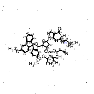 COc1ccc(C(OCC2OC(n3ncc4c(=O)[nH]c(/N=C/N(C)C)nc43)CC2OP(OCCC#N)N(C(C)C)C(C)C)(c2ccccc2)c2ccc(OC)cc2)cc1